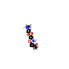 CC(C)(C)Nc1ccc(S(=O)(=O)c2ccc(NC(=O)c3cccc(C(=O)C(C)(C)C)c3)cc2)cc1